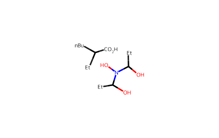 CCC(O)N(O)C(O)CC.CCCCC(CC)C(=O)O